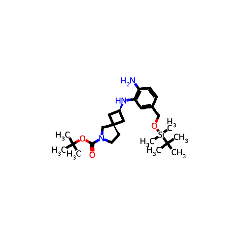 CC(C)(C)OC(=O)N1CC[C@]2(C1)C[C@H](Nc1cc(CO[Si](C)(C)C(C)(C)C)ccc1N)C2